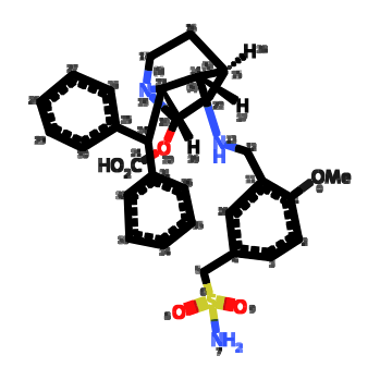 COc1ccc(CS(N)(=O)=O)cc1CN[C@H]1[C@H]2CCN(C(OC(=O)O)C2)[C@H]1C(c1ccccc1)c1ccccc1